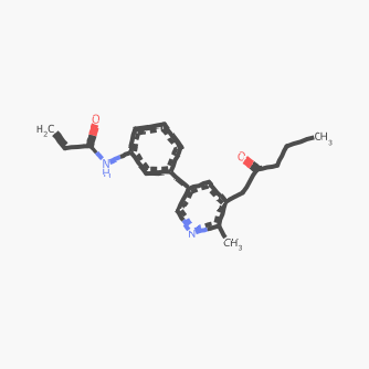 C=CC(=O)Nc1cccc(-c2cnc(C)c(CC(=O)CCC)c2)c1